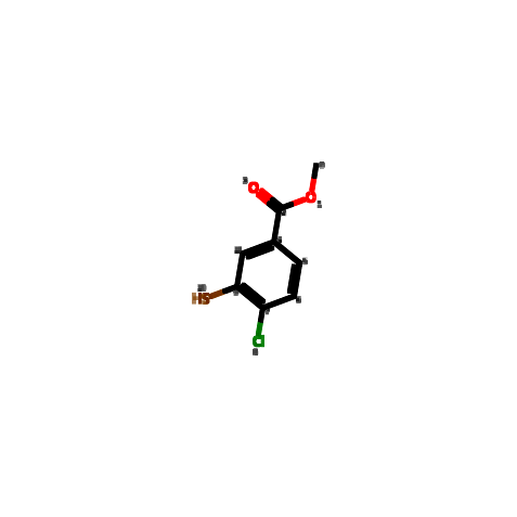 COC(=O)c1ccc(Cl)c(S)c1